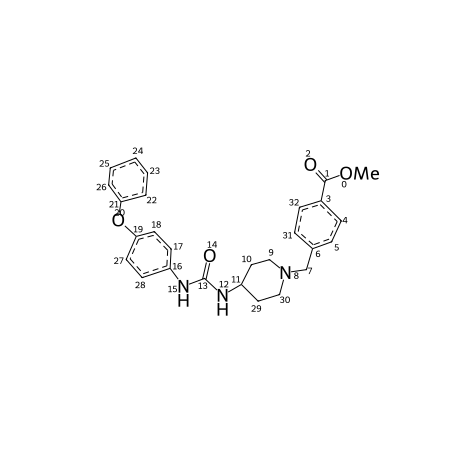 COC(=O)c1ccc(CN2CCC(NC(=O)Nc3ccc(Oc4ccccc4)cc3)CC2)cc1